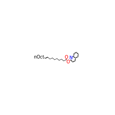 CCCCCCCC/C=C/CCCCCCCC(=O)Oc1ccc2ccccc2n1